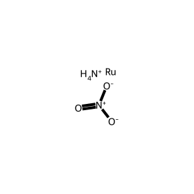 O=[N+]([O-])[O-].[NH4+].[Ru]